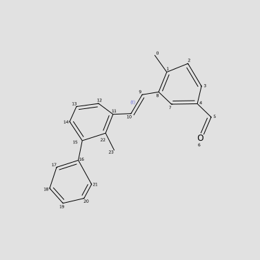 Cc1ccc(C=O)cc1/C=C/c1cccc(-c2ccccc2)c1C